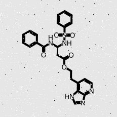 O=C(C[C@@H](NC(=O)c1ccccc1)NS(=O)(=O)c1ccccc1)OCCc1ccnc2nc[nH]c12